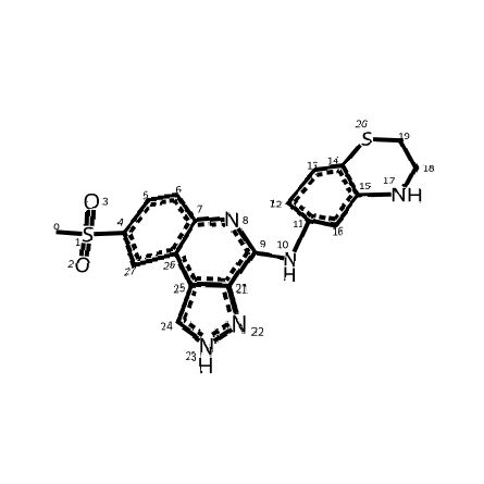 CS(=O)(=O)c1ccc2nc(Nc3ccc4c(c3)NCCS4)c3n[nH]cc3c2c1